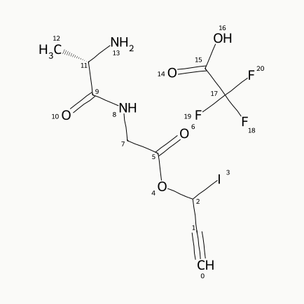 C#CC(I)OC(=O)CNC(=O)[C@H](C)N.O=C(O)C(F)(F)F